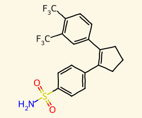 NS(=O)(=O)c1ccc(C2=C(c3ccc(C(F)(F)F)c(C(F)(F)F)c3)CCC2)cc1